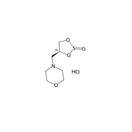 Cl.O=S1OC[C@H](CN2CCOCC2)O1